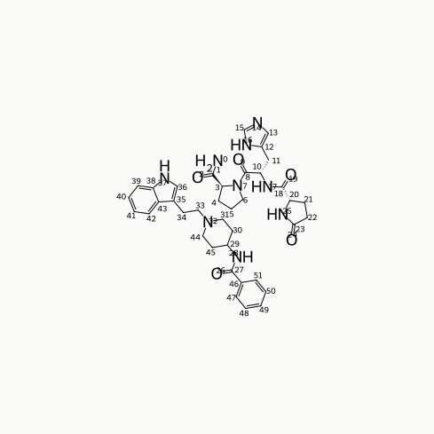 NC(=O)[C@@H]1CCCN1C(=O)[C@H](Cc1cnc[nH]1)NC(=O)[C@@H]1CCC(=O)N1.O=C(NC1CCN(CCc2c[nH]c3ccccc23)CC1)c1ccccc1